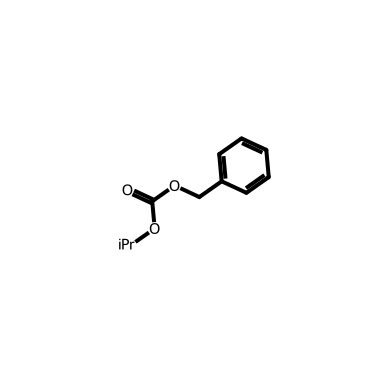 CC(C)OC(=O)OCc1ccccc1